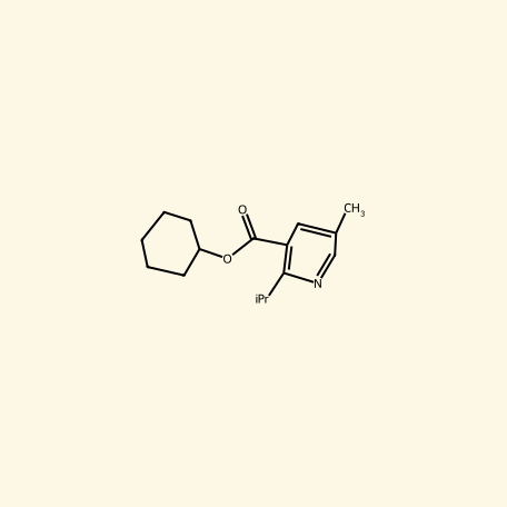 Cc1cnc(C(C)C)c(C(=O)OC2CCCCC2)c1